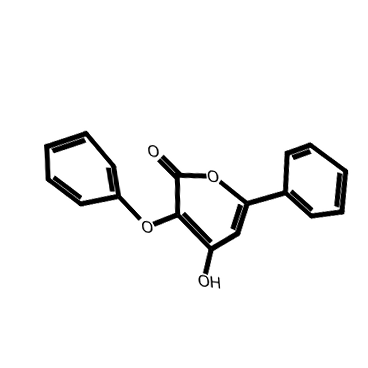 O=c1oc(-c2ccccc2)cc(O)c1Oc1ccccc1